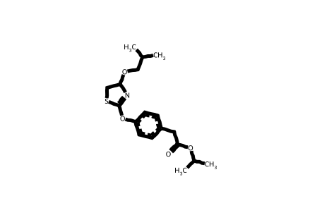 CC(C)COC1CSC(Oc2ccc(CC(=O)OC(C)C)cc2)=N1